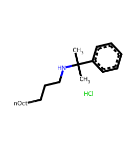 CCCCCCCCCCCNC(C)(C)c1ccccc1.Cl